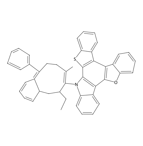 CCC1CC2C=CC=C/C2=C(\c2ccccc2)CC/C(C)=C\1n1c2ccccc2c2c3oc4ccccc4c3c3c4ccccc4sc3c21